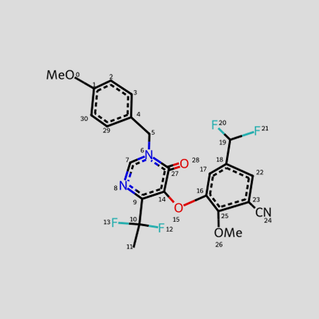 COc1ccc(Cn2cnc(C(C)(F)F)c(Oc3cc(C(F)F)cc(C#N)c3OC)c2=O)cc1